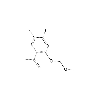 C=C(C)c1cc(C)c(I)cc1OCOC